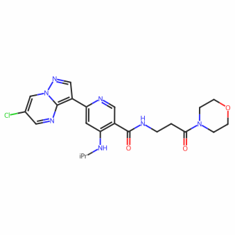 CC(C)Nc1cc(-c2cnn3cc(Cl)cnc23)ncc1C(=O)NCCC(=O)N1CCOCC1